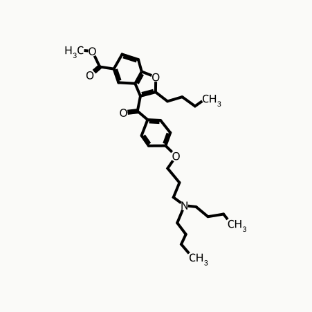 CCCCc1oc2ccc(C(=O)OC)cc2c1C(=O)c1ccc(OCCCN(CCCC)CCCC)cc1